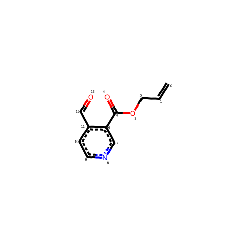 C=CCOC(=O)c1cnccc1C=O